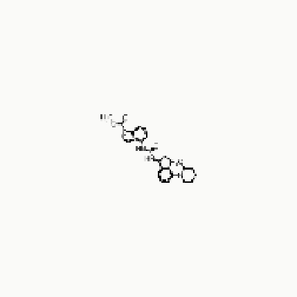 COC(=O)n1ncc2c(NC(=O)NC3CCc4c3cccc4N3CCCCC3C)cccc21